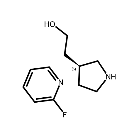 Fc1ccccn1.OCC[C@@H]1CCNC1